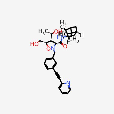 C[C@H](O)[C@@H]1[C@H](CO)ON(Cc2cccc(C#Cc3ccccn3)c2)[C@@H]1C(=O)N[C@H]1C[C@H]2CC([C@@H]1C)C2(C)C